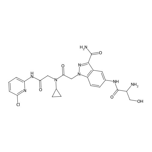 NC(=O)c1nn(CC(=O)N(CC(=O)Nc2cccc(Cl)n2)C2CC2)c2ccc(NC(=O)C(N)CO)cc12